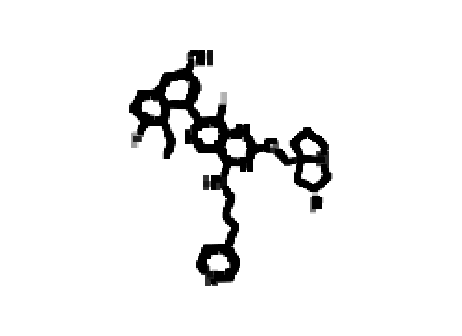 CCc1c(F)ccc2cc(O)cc(-c3ncc4c(NCCCc5ccncc5)nc(OC[C@@]56CCCN5C[C@H](F)C6)nc4c3I)c12